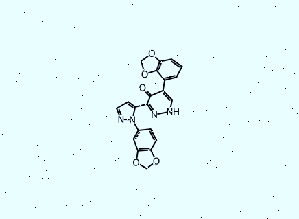 O=c1c(-c2cccc3c2OCO3)c[nH]nc1-c1ccnn1-c1ccc2c(c1)OCO2